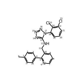 Cc1ccc(-c2ncccc2CNc2nnnn2-c2cccc(Cl)c2Cl)cc1